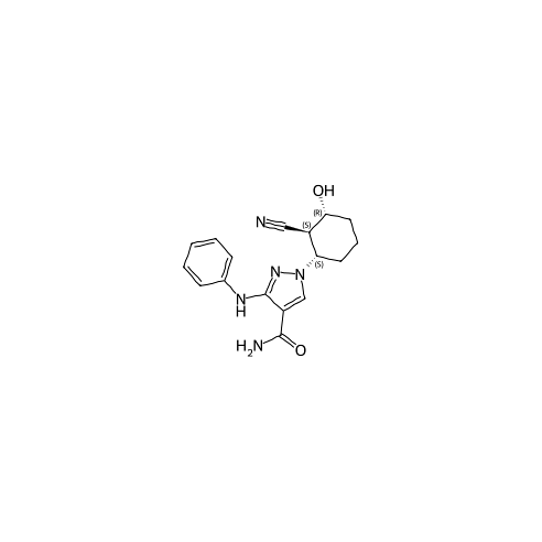 N#C[C@H]1[C@H](O)CCC[C@@H]1n1cc(C(N)=O)c(Nc2ccccc2)n1